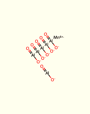 [Mn+6].[O]=[Al][O-].[O]=[Al][O-].[O]=[Al][O-].[O]=[Al][O-].[O]=[Al][O-].[O]=[Al][O-]